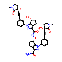 CN1CC[C@@](O)(C#Cc2cccc(-n3nc(C(=O)NO[C@H]4CCc5c(C(N)=O)nn(-c6cccc(C#C[C@]7(O)CCN(C)C7=O)c6)c54)c4c3[C@H](O)CC4)c2)C1=O